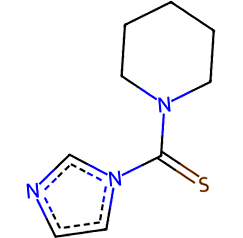 S=C(N1CCCCC1)n1ccnc1